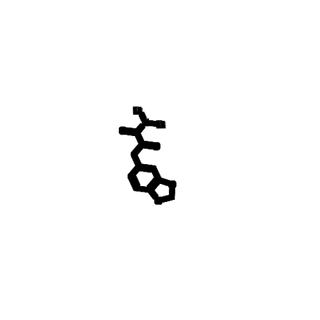 CCN(CC)C(=O)C(=O)Cc1ccc2c(c1)OCO2